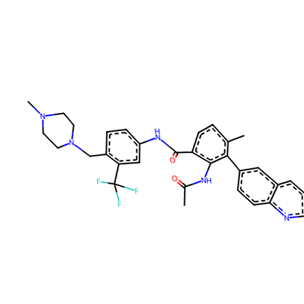 CC(=O)Nc1c(C(=O)Nc2ccc(CN3CCN(C)CC3)c(C(F)(F)F)c2)ccc(C)c1-c1ccc2ncccc2c1